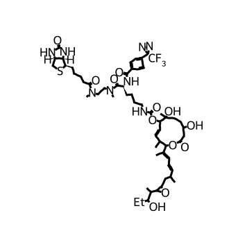 CCC(O)C(C)C1OC1CC(C)/C=C/C=C(\C)C1OC(=O)CC(O)CCC(C)(O)C(OC(=O)NCCCC[C@H](NC(=O)c2ccc(C3(C(F)(F)F)N=N3)cc2)C(=O)N(C)CCN(C)C(=O)CCCC[C@H]2SC[C@H]3NC(=O)N[C@H]32)/C=C/C1C